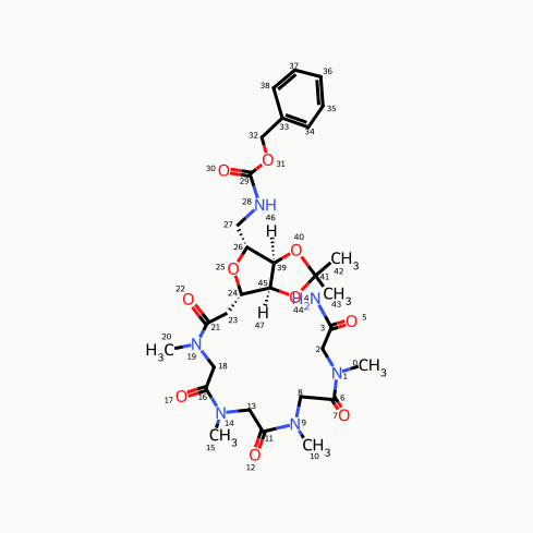 CN(CC(N)=O)C(=O)CN(C)C(=O)CN(C)C(=O)CN(C)C(=O)C[C@@H]1O[C@H](CNC(=O)OCc2ccccc2)[C@H]2OC(C)(C)O[C@H]21